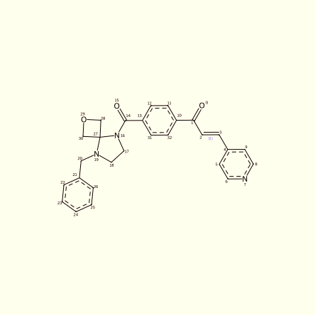 O=C(/C=C/c1ccncc1)c1ccc(C(=O)N2CCN(Cc3ccccc3)C23COC3)cc1